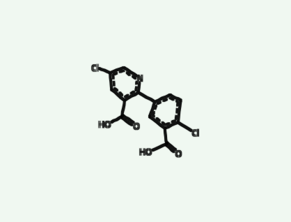 O=C(O)c1cc(-c2ncc(Cl)cc2C(=O)O)ccc1Cl